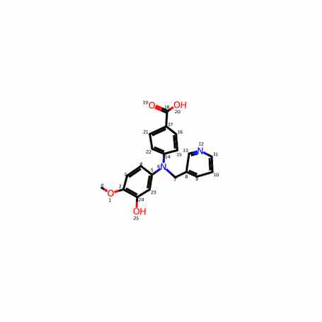 COc1ccc(N(Cc2cccnc2)c2ccc(C(=O)O)cc2)cc1O